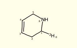 [2H]C1CC=CCN1